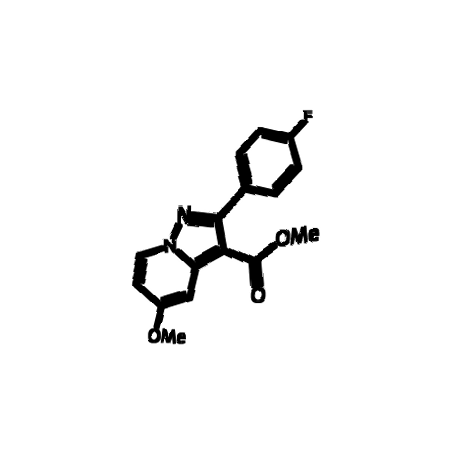 COC(=O)c1c(-c2ccc(F)cc2)nn2ccc(OC)cc12